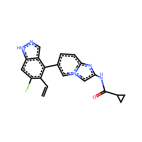 C=Cc1c(F)cc2[nH]ncc2c1-c1ccc2nc(NC(=O)C3CC3)cn2c1